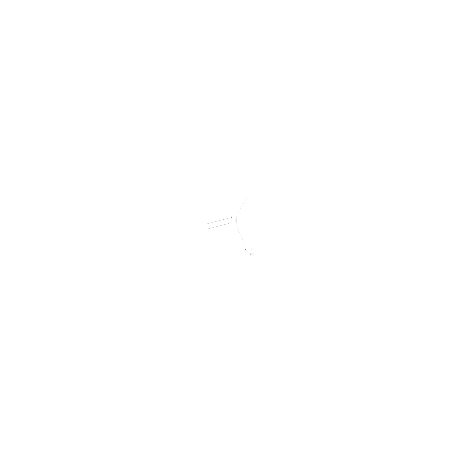 N[N+](=O)[O-].[H+]